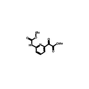 COC(=O)C(=O)c1cccc(NC(=O)OC(C)(C)C)n1